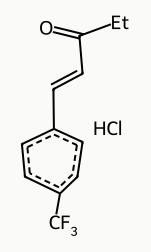 CCC(=O)C=Cc1ccc(C(F)(F)F)cc1.Cl